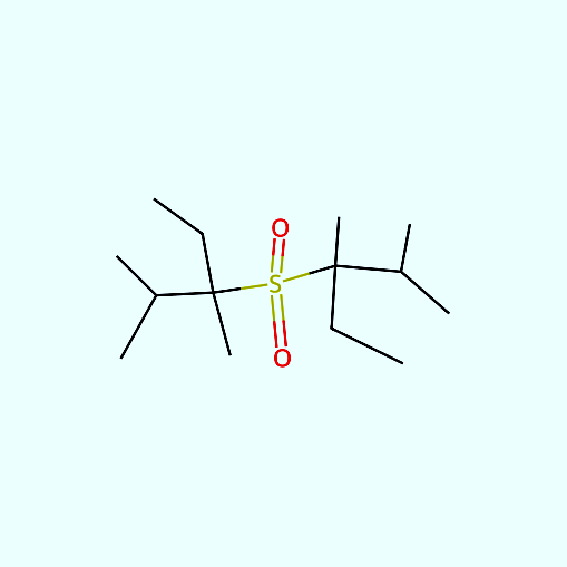 CCC(C)(C(C)C)S(=O)(=O)C(C)(CC)C(C)C